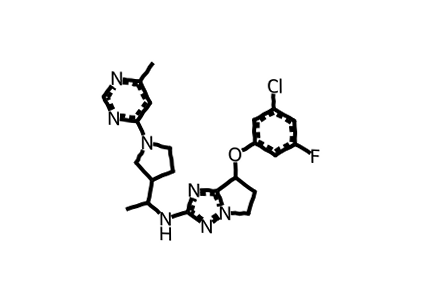 Cc1cc(N2CCC(C(C)Nc3nc4n(n3)CCC4Oc3cc(F)cc(Cl)c3)C2)ncn1